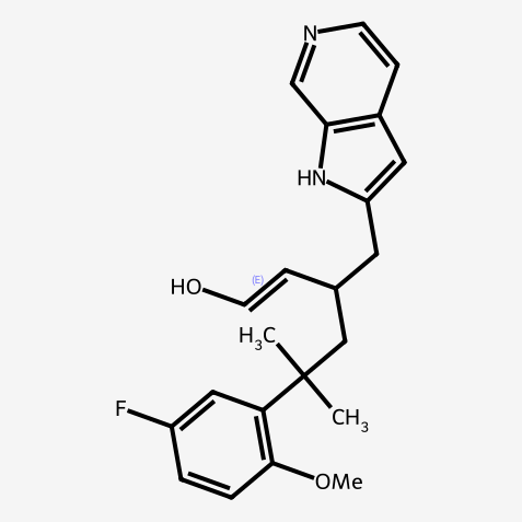 COc1ccc(F)cc1C(C)(C)CC(/C=C/O)Cc1cc2ccncc2[nH]1